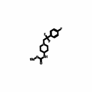 CC(C)(C)OC(=O)NC1CCN(CC(F)(F)c2ccc(F)cc2)CC1